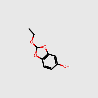 CCOC1Oc2ccc(O)cc2O1